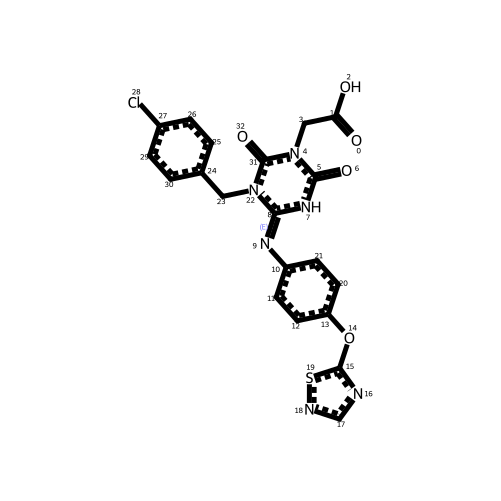 O=C(O)Cn1c(=O)[nH]/c(=N\c2ccc(Oc3ncns3)cc2)n(Cc2ccc(Cl)cc2)c1=O